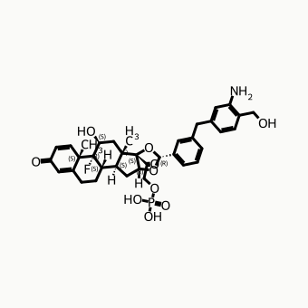 C[C@]12C=CC(=O)C=C1CC[C@H]1[C@@H]3C[C@H]4O[C@@H](c5cccc(Cc6ccc(CO)c(N)c6)c5)O[C@@]4(C(=O)COP(=O)(O)O)[C@@]3(C)C[C@H](O)[C@@]12F